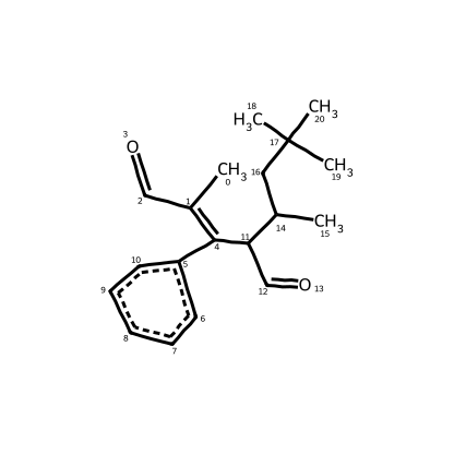 CC(C=O)=C(c1ccccc1)C(C=O)C(C)CC(C)(C)C